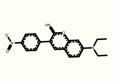 CCN(CC)c1ccc2cc(-c3ccc([N+](=O)[O-])cc3)c(=N)oc2c1